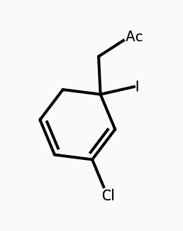 CC(=O)CC1(I)C=C(Cl)C=CC1